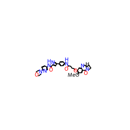 COc1cc2c(cc1OCCCC(=O)Nc1ccc(-c3cc(C(=O)Nc4ccc(N5CCOCC5)nc4)n(C)c3)cc1)N=C[C@@H]1CCCN1C2=O